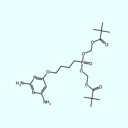 CC(C)(C)C(=O)OCOP(=O)(CCCCOc1cc(N)nc(N)n1)OCOC(=O)C(C)(C)C